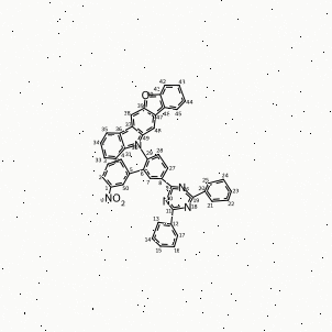 O=[N+]([O-])c1cccc(-c2cc(-c3nc(-c4ccccc4)nc(-c4ccccc4)n3)ccc2-n2c3ccccc3c3cc4oc5ccccc5c4cc32)c1